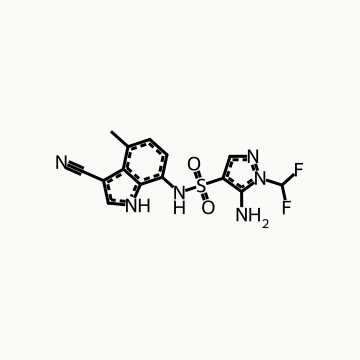 Cc1ccc(NS(=O)(=O)c2cnn(C(F)F)c2N)c2[nH]cc(C#N)c12